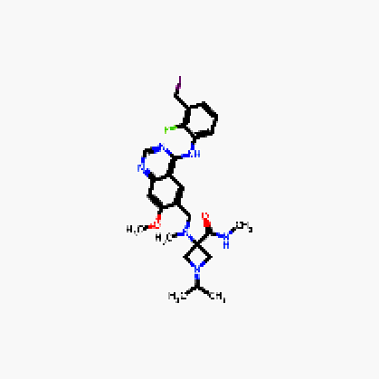 CNC(=O)C1(N(C)Cc2cc3c(Nc4cccc(CI)c4F)ncnc3cc2OC)CN(C(C)C)C1